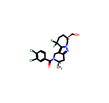 C[C@@H]1Cc2nn3c(c2CN1C(=O)c1ccc(Cl)c(Cl)c1)C(F)(F)CC[C@@H](CO)C3